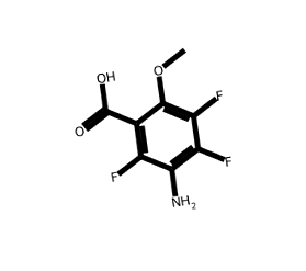 COc1c(F)c(F)c(N)c(F)c1C(=O)O